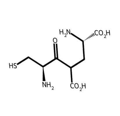 N[C@@H](CC(C(=O)O)C(=O)[C@@H](N)CS)C(=O)O